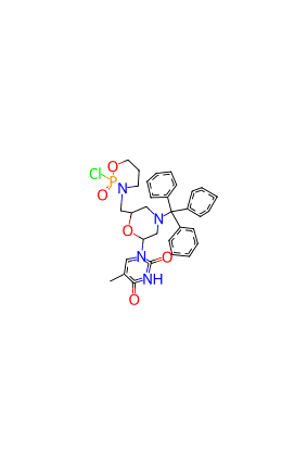 Cc1cn(C2CN(C(c3ccccc3)(c3ccccc3)c3ccccc3)CC(CN3CCCOP3(=O)Cl)O2)c(=O)[nH]c1=O